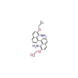 Nc1c(OCC2CC2)ccc2cccc(-c3cccc4ccc(OCC5CO5)c(N)c34)c12